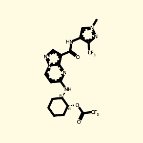 Cn1cc(NC(=O)c2cnn3ccc(N[C@H]4CCCC[C@H]4OC(=O)C(F)(F)F)nc23)c(C(F)(F)F)n1